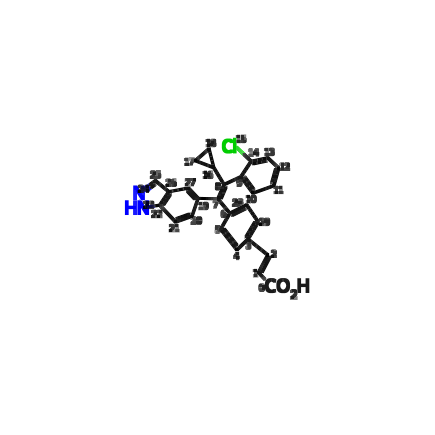 O=C(O)C=Cc1ccc(C(=C(c2ccccc2Cl)C2CC2)c2ccc3[nH]ncc3c2)cc1